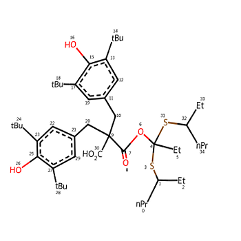 CCCC(CC)SC(CC)(OC(=O)C(Cc1cc(C(C)(C)C)c(O)c(C(C)(C)C)c1)(Cc1cc(C(C)(C)C)c(O)c(C(C)(C)C)c1)C(=O)O)SC(CC)CCC